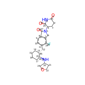 O=C1CCC(N2Cc3c(ccc(C[C@H]4CCCC[C@@H]4NC4CCOC4)c3F)C2=O)C(=O)N1